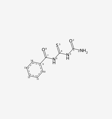 NC(=O)NC(=S)NC(=O)c1ccccc1